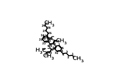 CCCCCc1cccc(C(C=C(C)C)SC(C=C(C)C)c2cccc(CCCCC)c2)c1